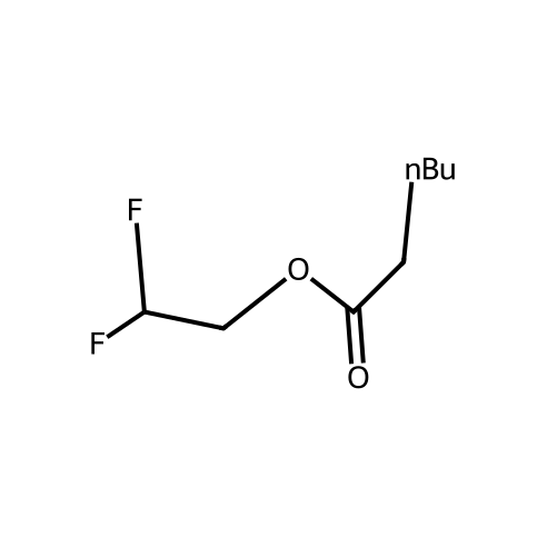 CCCCCC(=O)OCC(F)F